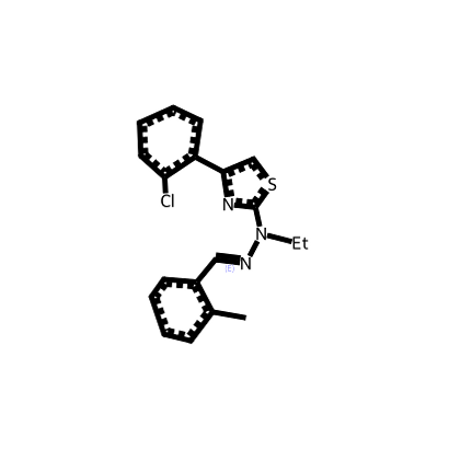 CCN(/N=C/c1ccccc1C)c1nc(-c2ccccc2Cl)cs1